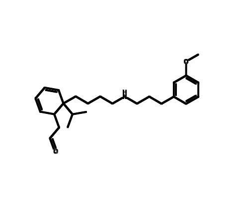 COc1cccc(CCCNCCCCC2(C(C)C)C=CC=CC2CC=O)c1